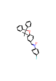 CC(C)(C)[Si](Oc1ccc(/C=[N+](\[O-])c2ccc(F)cc2)cc1)(c1ccccc1)c1ccccc1